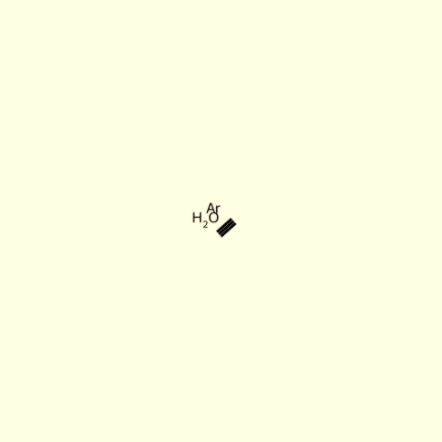 C#C.O.[Ar]